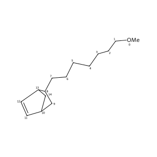 COCCCCCCCC1CC2C=CC1C2